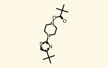 CC(C)(C)C(=O)ON1CCN(c2nc(C(C)(C)C)cs2)CC1